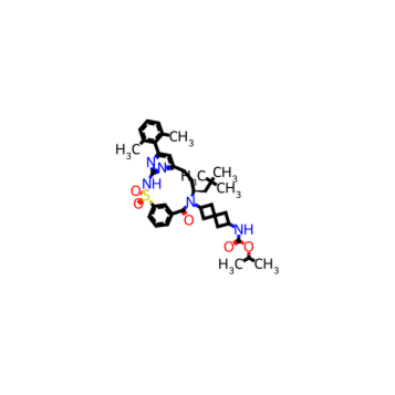 Cc1cccc(C)c1-c1cc2nc(n1)NS(=O)(=O)c1cccc(c1)C(=O)N(C1CC3(CC(NC(=O)OC(C)C)C3)C1)[C@H](CC(C)(C)C)CC2